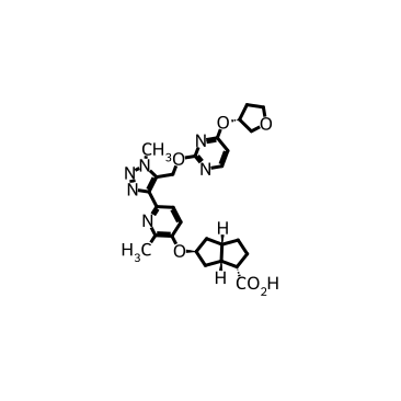 Cc1nc(-c2nnn(C)c2COc2nccc(O[C@@H]3CCOC3)n2)ccc1O[C@H]1C[C@@H]2CC[C@H](C(=O)O)[C@@H]2C1